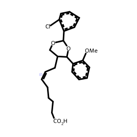 COc1ccccc1C1OC(c2ccccc2Cl)OCC1C/C=C\CCCCC(=O)O